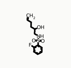 C=CCCC(O)CNS(=O)(=O)c1ccccc1F